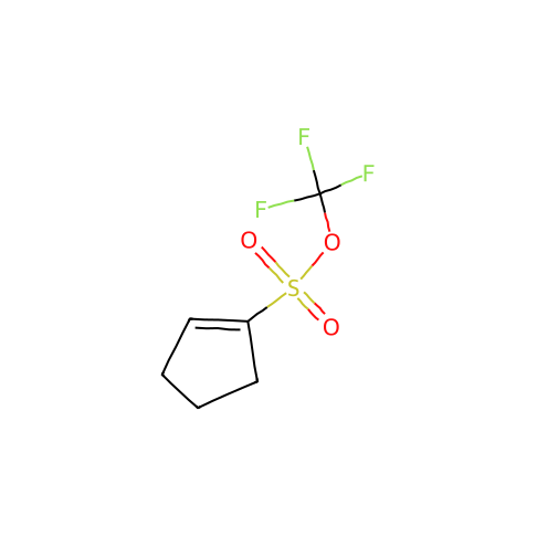 O=S(=O)(OC(F)(F)F)C1=CCCC1